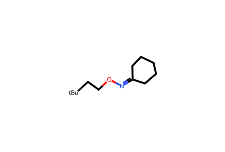 CC(C)(C)CCON=C1CCCCC1